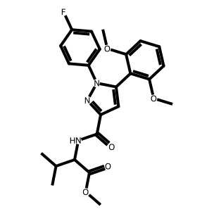 COC(=O)C(NC(=O)c1cc(-c2c(OC)cccc2OC)n(-c2ccc(F)cc2)n1)C(C)C